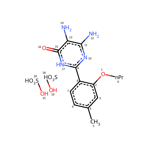 CCCOc1cc(C)ccc1-c1nc(N)c(N)c(=O)[nH]1.O=S(=O)(O)O.O=S(=O)(O)O